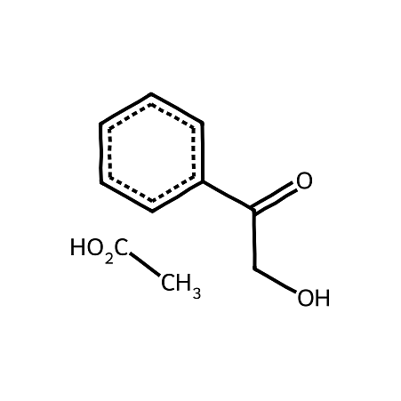 CC(=O)O.O=C(CO)c1ccccc1